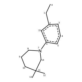 CCc1cccc(N2CCCC(C)(C)C2)c1